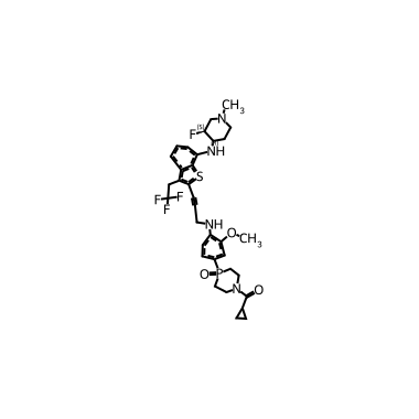 COc1cc(P2(=O)CCN(C(=O)C3CC3)CC2)ccc1NCC#Cc1sc2c(N[C@@H]3CCN(C)C[C@@H]3F)cccc2c1CC(F)(F)F